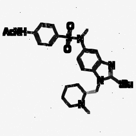 CC(=O)Nc1ccc(S(=O)(=O)N(C)c2ccc3c(c2)nc(C(C)(C)C)n3C[C@H]2CCCCN2C)cc1